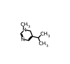 CC(C)C1=CN=CN(C)C1